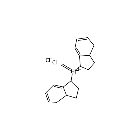 [CH2]=[Hf+2]([CH]1CCC2CC=CC=C21)[CH]1CCC2CC=CC=C21.[Cl-].[Cl-]